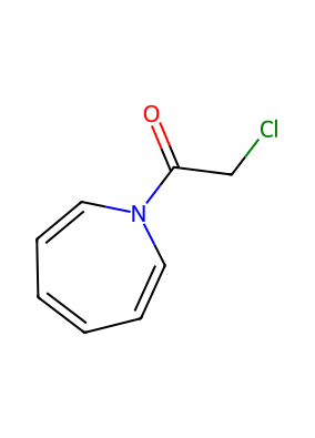 O=C(CCl)N1C=CC=CC=C1